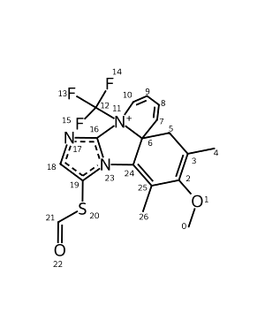 COC1=C(C)CC23C=CC=C[N+]2(C(F)(F)F)c2ncc(SC=O)n2C3=C1C